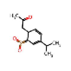 CC(=O)CC1C=CC(C(C)C)=CC1=S(=O)=O